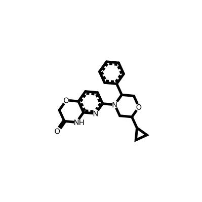 O=C1COc2ccc(N3CC(C4CC4)OCC3c3ccccc3)nc2N1